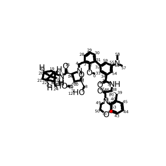 COc1c(CN2O[C@@H](CO)[C@H]([C@H](C)O)[C@H]2C(=O)N[C@H]2C[C@H]3C[C@@H]([C@@H]2C)C3(C)C)cccc1-c1cc(C(=O)N[C@H](Cc2ccccc2)C(=O)N2CCOCC2)cc(N(C)C)c1